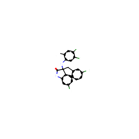 O=C(O)c1cc(F)c(F)cc1NC1(Cc2cccc(Cl)c2)C(=O)Nc2cc(Cl)ccc21